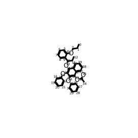 CCCOc1ccccc1C(CC)Oc1c(Oc2ccccc2)c(Oc2ccccc2)c(OC(C)=O)c2ccccc12